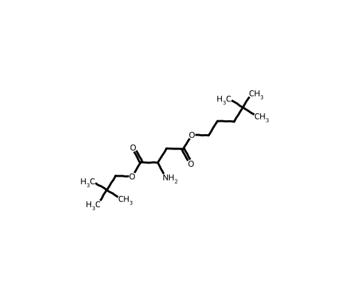 CC(C)(C)CCCOC(=O)CC(N)C(=O)OCC(C)(C)C